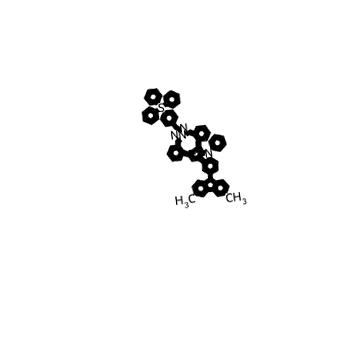 Cc1ccc2c(c1)-c1cc(C)ccc1C2c1ccc2c(c1)c1cc3cc(c4ccccc4c4nc(-c5ccc(S(c6ccccc6)(c6ccccc6)c6ccccc6)cc5)nc(n4)c4ccccc34)c1n2-c1ccccc1